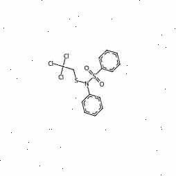 O=S(=O)(c1ccccc1)N(SCC(Cl)(Cl)Cl)c1ccccc1